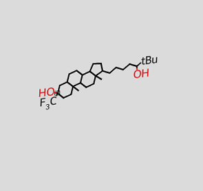 CC(C)(C)C(O)CCCCC1CCC2C3CCC4C[C@](O)(C(F)(F)F)CCC4(C)C3CCC12C